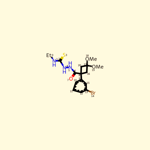 CCNC(=S)NNC(=O)C1(c2cccc(Br)c2)CC(OC)(OC)C1